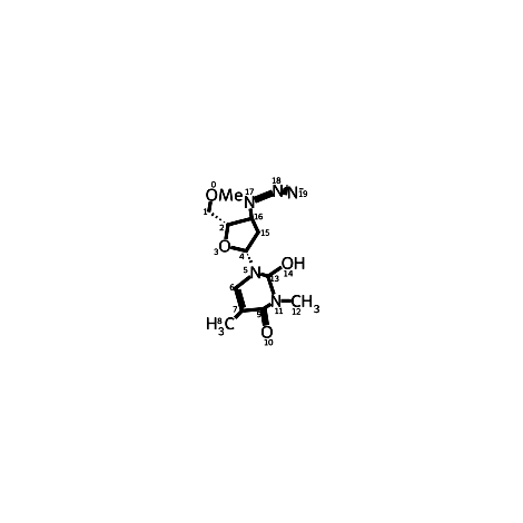 COC[C@H]1O[C@@H](N2C=C(C)C(=O)N(C)C2O)CC1N=[N+]=[N-]